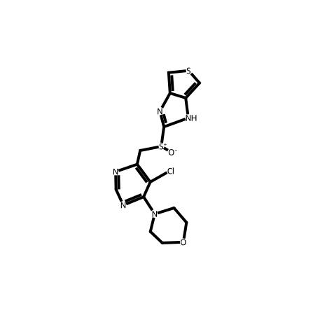 [O-][S+](Cc1ncnc(N2CCOCC2)c1Cl)c1nc2cscc2[nH]1